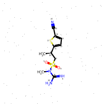 C[C@H](CS(=O)(=O)N(C)C(=N)N)c1ccc(C#N)s1